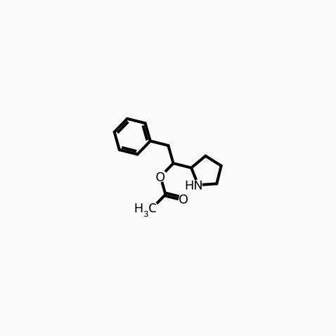 CC(=O)OC(Cc1ccccc1)C1CCCN1